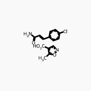 Cc1oncc1C(=O)O.NC(=O)/C=C/c1ccc(Cl)cc1